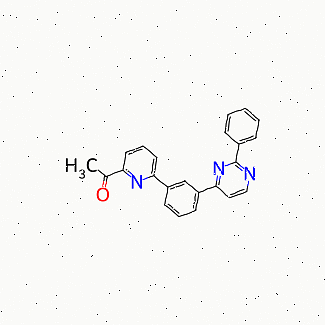 CC(=O)c1cccc(-c2cccc(-c3ccnc(-c4ccccc4)n3)c2)n1